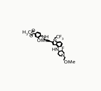 COCCN1CC[C@@H](Nc2cccc3c2cc(C#CCNc2ccc(S(C)(=O)=O)cc2OC)n3CC(F)(F)F)[C@@H](F)C1